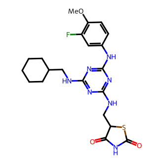 COc1ccc(Nc2nc(NCC3CCCCC3)nc(NCC3SC(=O)NC3=O)n2)cc1F